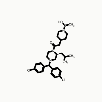 CB(O)N1CCC(CC(=O)N2CCN(C(c3ccc(Cl)cc3)c3ccc(Cl)cc3)C[C@@H]2CC(C)C)CC1